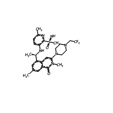 Cc1cc([C@@H](C)Nc2ccc(C)nc2S(C)(=N)=O)c2cc(N3CCN(CC(F)(F)F)CC3)n(C)c(=O)c2c1